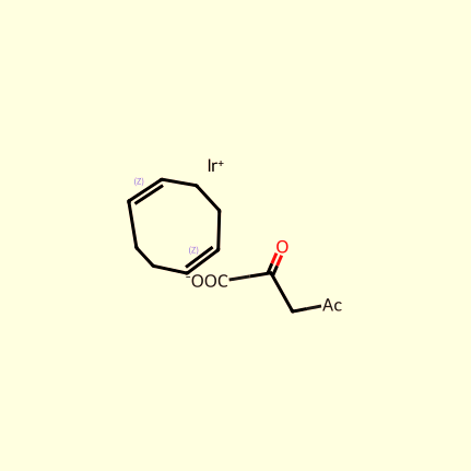 C1=C\CC/C=C\CC/1.CC(=O)CC(=O)C(=O)[O-].[Ir+]